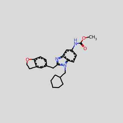 COC(=O)Nc1ccc2c(c1)nc(Cc1ccc3c(c1)CCO3)n2CC1CCCCC1